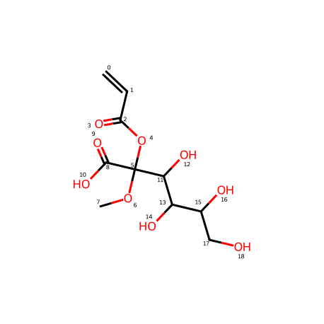 C=CC(=O)OC(OC)(C(=O)O)C(O)C(O)C(O)CO